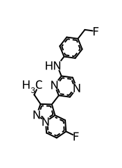 CCc1nn2ccc(F)cc2c1-c1cncc(Nc2ccc(CF)cc2)n1